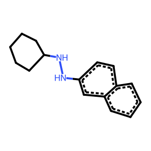 c1ccc2cc(NNC3CCCCC3)ccc2c1